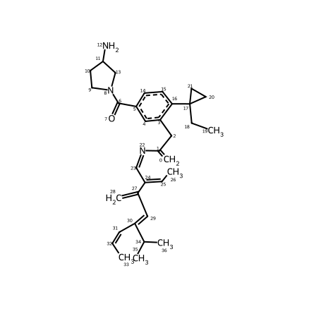 C=C(Cc1cc(C(=O)N2CCC(N)C2)ccc1C1(CC)CC1)/N=C\C(=C/C)C(=C)/C=C(\C=C/C)C(C)C